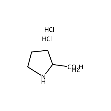 Cl.Cl.Cl.O=C(O)C1CCCN1